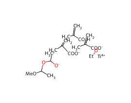 C=C(C)C(=O)O.C=C(C)C(=O)[O-].C=C(C)C(=O)[O-].CC[O-].COC(C)OC(C)[O-].[Ti+4]